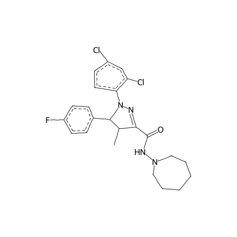 CC1C(C(=O)NN2CCCCCC2)=NN(c2ccc(Cl)cc2Cl)C1c1ccc(F)cc1